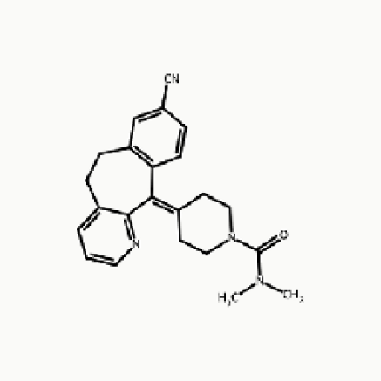 CN(C)C(=O)N1CCC(=C2c3ccc(C#N)cc3CCc3cccnc32)CC1